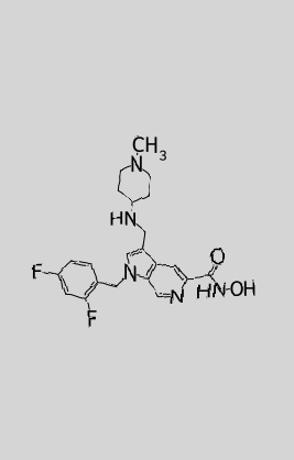 CN1CCC(NCc2cn(Cc3ccc(F)cc3F)c3cnc(C(=O)NO)cc23)CC1